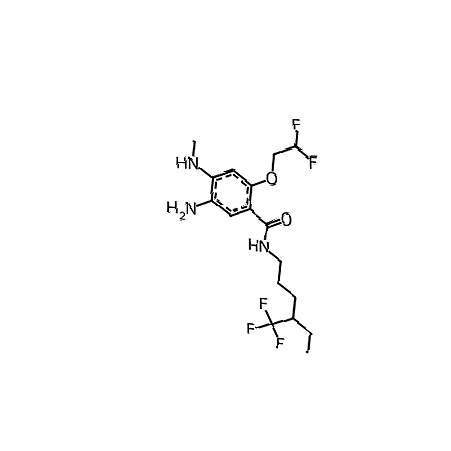 CCC(CCCNC(=O)c1cc(N)c(NC)cc1OCC(F)F)C(F)(F)F